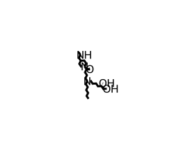 CCCCCCN(CCCC[C@H](O)CO)CCCC(=O)N1CCC(CNC)CC1